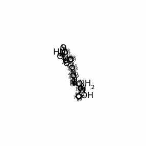 Nc1nnc(-c2ccccc2O)cc1-c1cnn(C2CCN([C@H]3CC[C@@H](c4cccc5c4OCCN5C4CCC(=O)NC4=O)CC3)CC2)c1